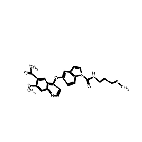 COc1cc2nccc(Oc3ccc4c(ccn4C(=O)NCCCSC)c3)c2cc1C(N)=O